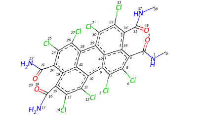 CNC(=O)c1c(Cl)c(Cl)c2c3c(Cl)c(Cl)c(C(N)=O)c4c(C(N)=O)c(Cl)c(Cl)c(c5c(Cl)c(Cl)c(C(=O)NC)c1c25)c43